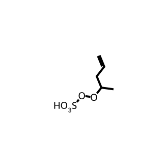 C=CCC(C)OOS(=O)(=O)O